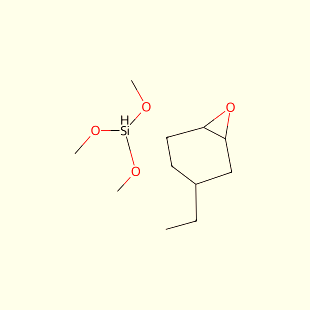 CCC1CCC2OC2C1.CO[SiH](OC)OC